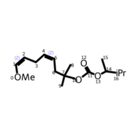 CO/C=C\C/C=C\CC(C)(C)OC(=O)OC(C)C(C)C